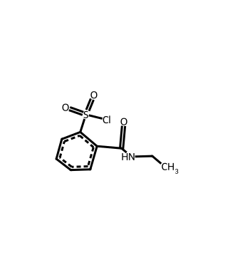 CCNC(=O)c1ccccc1S(=O)(=O)Cl